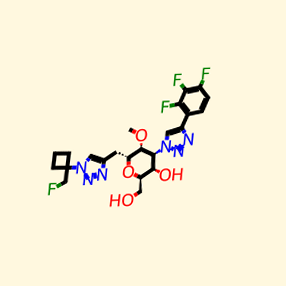 CO[C@@H]1[C@@H](n2cc(-c3ccc(F)c(F)c3F)nn2)[C@@H](O)[C@@H](CO)O[C@@H]1Cc1cn(C2(CF)CCC2)nn1